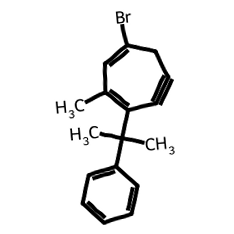 CC1=C(C(C)(C)c2ccccc2)C#CCC(Br)=C1